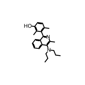 CCCN(CCC)c1c(C)nc(-c2c(C)ccc(O)c2C)c2ccccc12